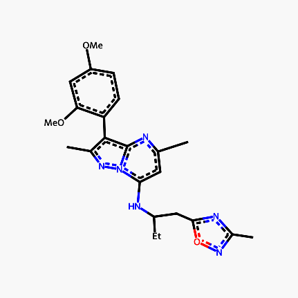 CCC(Cc1nc(C)no1)Nc1cc(C)nc2c(-c3ccc(OC)cc3OC)c(C)nn12